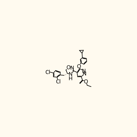 C=C(OCC)c1cc(C2=NOC[C@@H](Cc3ccc(Cl)cc3Cl)N2)c(Oc2cccc(C3CC3)c2)nn1